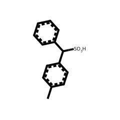 Cc1ccc([C](c2ccccc2)S(=O)(=O)O)cc1